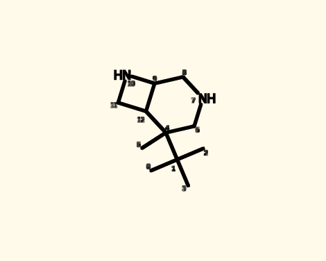 CC(C)(C)C1(C)CNCC2NCC21